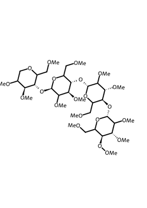 COCC1OCC(OC)[C@H](OC)[C@H]1O[C@H]1OC(COC)[C@H](O[C@H]2OC(COC)[C@H](O[C@H]3OC(COC)[C@H](OOC)[C@@H](OC)C3OC)[C@@H](OC)C2OC)[C@@H](OC)C1OC